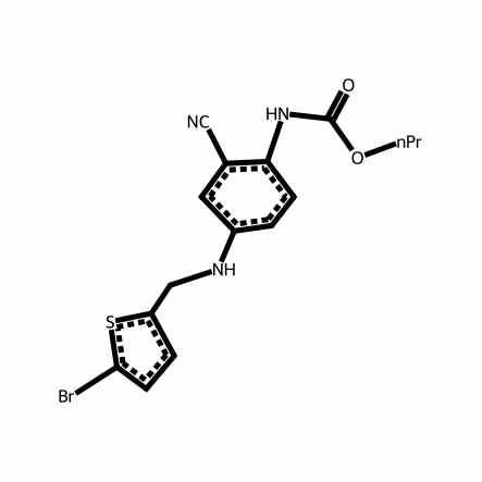 CCCOC(=O)Nc1ccc(NCc2ccc(Br)s2)cc1C#N